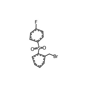 O=S(=O)(c1ccc(F)cc1)c1ccccc1CBr